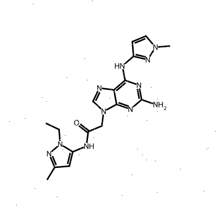 CCn1nc(C)cc1NC(=O)Cn1cnc2c(Nc3ccn(C)n3)nc(N)nc21